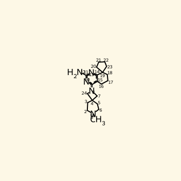 CN1CCC2(CC1)CN(c1nc(N)nc3c1CCCC31CCCC1)C2